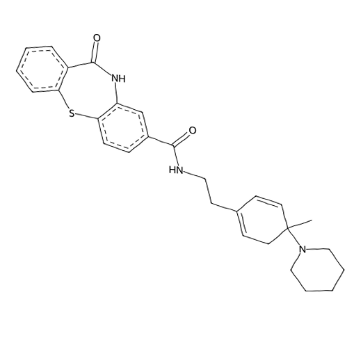 CC1(N2CCCCC2)C=CC(CCNC(=O)c2ccc3c(c2)NC(=O)c2ccccc2S3)=CC1